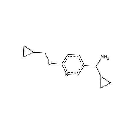 NC(c1ccc(OCC2CC2)nc1)C1CC1